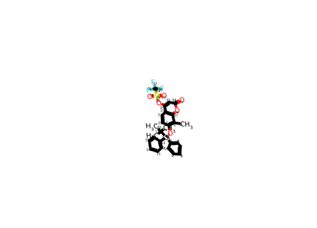 Cc1c(O[Si](c2ccccc2)(c2ccccc2)C(C)(C)C)ccc2c(OS(=O)(=O)C(F)(F)F)cc(=O)oc12